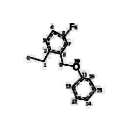 CCc1ccc(F)cc1COc1ccccc1